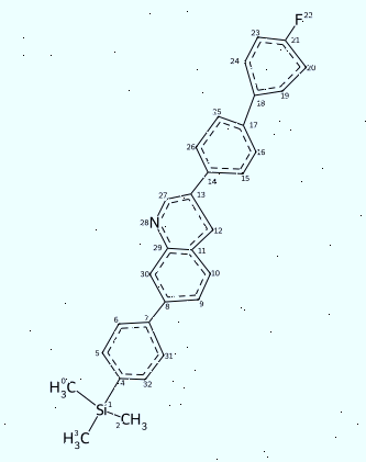 C[Si](C)(C)c1ccc(-c2ccc3cc(-c4ccc(-c5ccc(F)cc5)cc4)cnc3c2)cc1